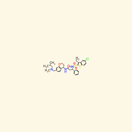 Cc1c(S(=O)(=O)NC(CC(=O)NC2CCOc3cc(CN(C)CC(C)C)ccc32)c2ccccc2)sc2ccc(Cl)cc12